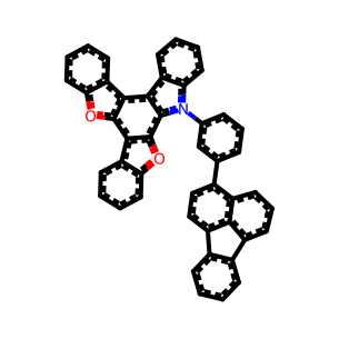 c1cc(-c2ccc3c4c(cccc24)-c2ccccc2-3)cc(-n2c3ccccc3c3c4c5ccccc5oc4c4c5ccccc5oc4c32)c1